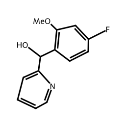 COc1cc(F)ccc1C(O)c1ccccn1